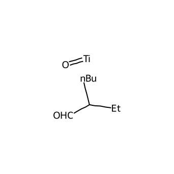 CCCCC(C=O)CC.[O]=[Ti]